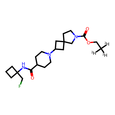 [2H]C([2H])([2H])COC(=O)N1CCC2(CC(N3CCC(C(=O)NC4(CF)CCC4)CC3)C2)C1